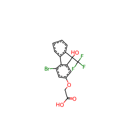 O=C(O)COc1cc(Br)c2c(c1)C(O)(C(F)(F)F)c1ccccc1-2